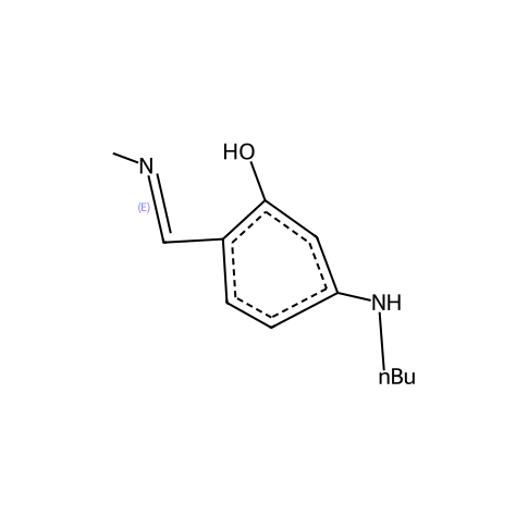 CCCCNc1ccc(/C=N/C)c(O)c1